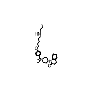 CCCCNCCCCCOc1ccc(C(=O)N2CCC(N3C(=O)CCc4ccccc43)CC2)cc1